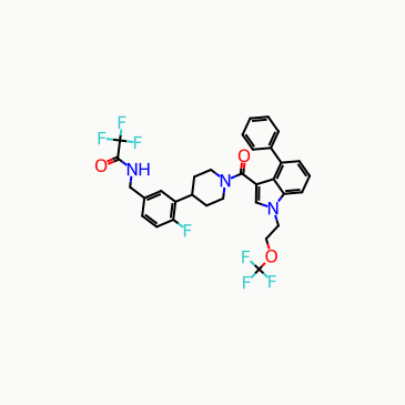 O=C(c1cn(CCOC(F)(F)F)c2cccc(-c3ccccc3)c12)N1CCC(c2cc(CNC(=O)C(F)(F)F)ccc2F)CC1